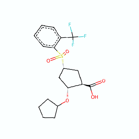 O=C(O)[C@@H]1C[C@@H](S(=O)(=O)c2ccccc2C(F)(F)F)C[C@H]1OC1CCCC1